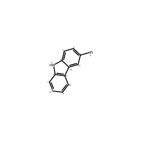 CC(C)c1ccc2[nH]c3cnccc3c2c1